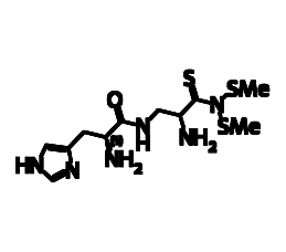 CSN(SC)C(=S)C(N)CNC(=O)[C@@H](N)Cc1c[nH]cn1